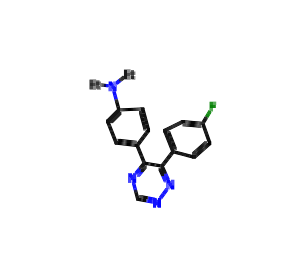 CCN(CC)c1ccc(-c2ncnnc2-c2ccc(F)cc2)cc1